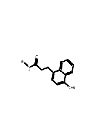 CCNC(=O)CCc1ccc(C=O)c2ccccc12